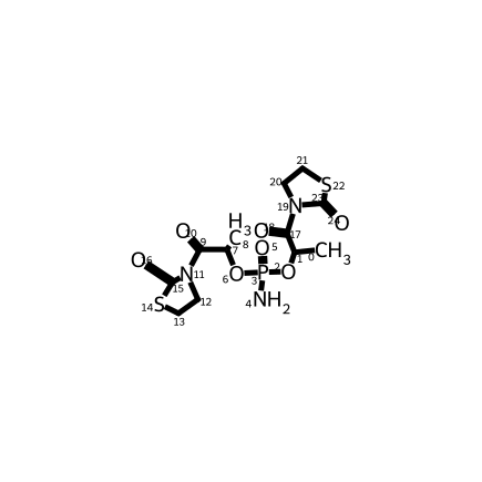 CC(OP(N)(=O)OC(C)C(=O)N1CCSC1=O)C(=O)N1CCSC1=O